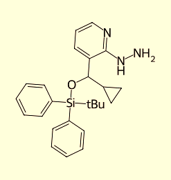 CC(C)(C)[Si](OC(c1cccnc1NN)C1CC1)(c1ccccc1)c1ccccc1